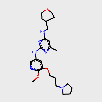 COc1ncc(Nc2nc(C)cc(NCC3CCOCC3)n2)cc1OCCCN1CCCC1